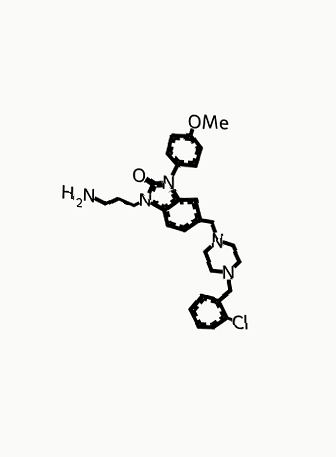 COc1ccc(-n2c(=O)n(CCCN)c3ccc(CN4CCN(Cc5ccccc5Cl)CC4)cc32)cc1